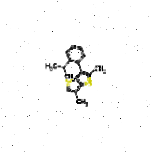 Cc1sc2c(C)csc2c1-c1ccccc1C(C)C